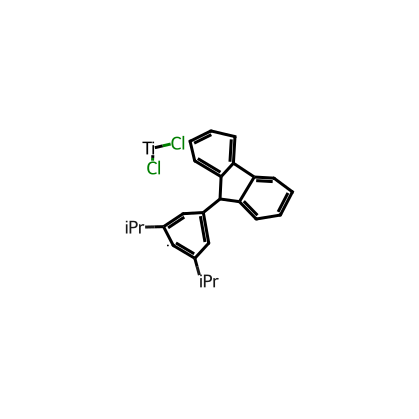 CC(C)c1[c]c(C(C)C)cc(C2c3ccccc3-c3ccccc32)c1.[Cl][Ti][Cl]